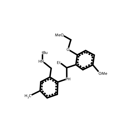 CCC(Pc1ccc(C)cc1CNC(C)(C)C)c1cc(OC)ccc1OCOC